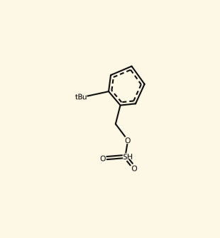 CC(C)(C)c1ccccc1CO[SH](=O)=O